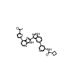 CC(=O)c1ccc(-c2ccnc3[nH]c(-c4n[nH]c5ccc(-c6cncc(NC(=O)C7CCC7)c6)cc45)nc23)s1